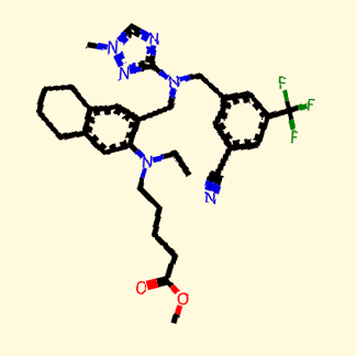 CCN(CCCCC(=O)OC)c1cc2c(cc1CN(Cc1cc(C#N)cc(C(F)(F)F)c1)c1ncn(C)n1)CCCC2